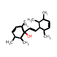 CC1C=CC(C)C(C=CC2(O)C(C)C=CC(C)C2C)C1C